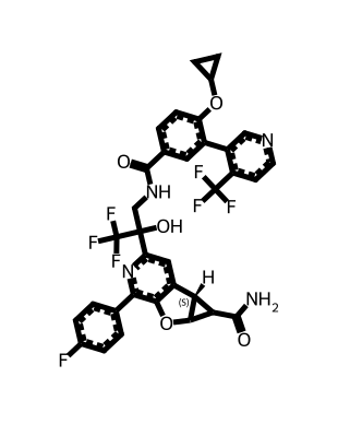 NC(=O)C1C2Oc3c(cc(C(O)(CNC(=O)c4ccc(OC5CC5)c(-c5cnccc5C(F)(F)F)c4)C(F)(F)F)nc3-c3ccc(F)cc3)[C@@H]21